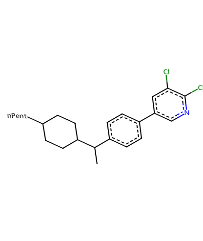 CCCCCC1CCC(C(C)c2ccc(-c3cnc(Cl)c(Cl)c3)cc2)CC1